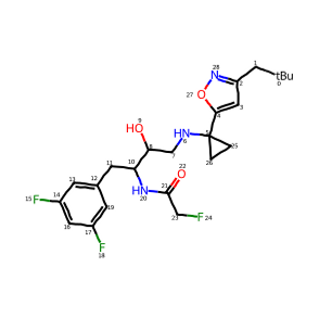 CC(C)(C)Cc1cc(C2(NCC(O)C(Cc3cc(F)cc(F)c3)NC(=O)CF)CC2)on1